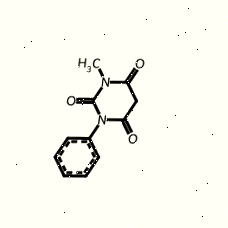 CN1C(=O)CC(=O)N(c2ccccc2)C1=O